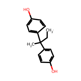 [CH2]CC([CH2])(c1ccc(O)cc1)c1ccc(O)cc1